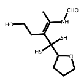 CC(NC=O)=C(CCO)C(S)(S)C1CCCO1